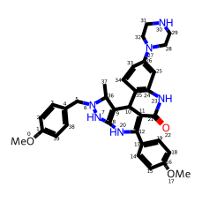 COc1ccc(CN2NC3=C(C4C(=C(c5ccc(OC)cc5)N3)C(=O)Nc3cc(N5CCNCC5)ccc34)C2C)cc1